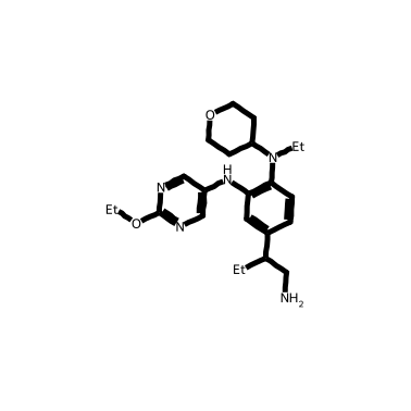 CCOc1ncc(Nc2cc(C(CC)CN)ccc2N(CC)C2CCOCC2)cn1